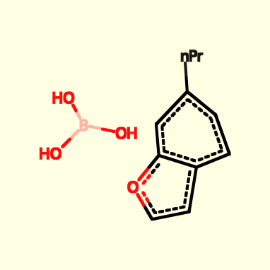 CCCc1ccc2ccoc2c1.OB(O)O